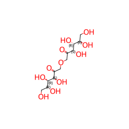 O=C(COCC(=O)[C@@H](O)[C@H](O)[C@H](O)CO)[C@@H](O)[C@H](O)[C@H](O)CO